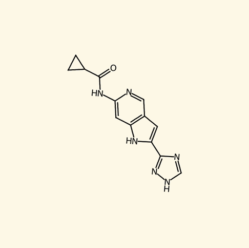 O=C(Nc1cc2[nH]c(-c3nc[nH]n3)cc2cn1)C1CC1